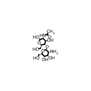 CC(=O)N[C@@H]1[C@@H](O)[C@H](O[C@@H]2O[C@H](CO)[C@@H](O)[C@H](O)[C@H]2N)[C@@H](CO)O[C@H]1O